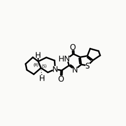 O=C(c1nc2sc3c(c2c(=O)[nH]1)CCC3)N1CC[C@H]2CCCC[C@@H]2C1